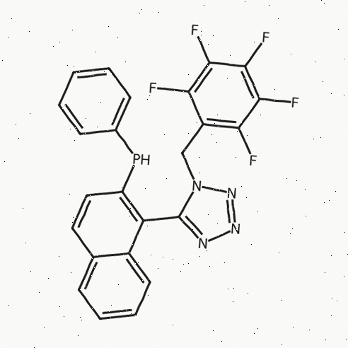 Fc1c(F)c(F)c(Cn2nnnc2-c2c(Pc3ccccc3)ccc3ccccc23)c(F)c1F